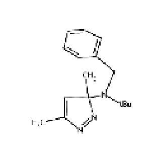 CC1=CC(C)(N(Cc2ccccc2)C(C)(C)C)N=N1